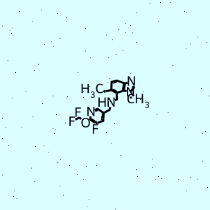 CCc1ccc2ncn(C)c2c1CNCc1cnc(OC(F)F)c(F)c1